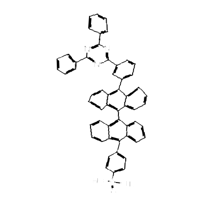 CP(C)(=O)c1ccc(-c2c3ccccc3c(-c3c4ccccc4c(-c4cccc(-c5nc(-c6ccccc6)nc(-c6ccccc6)n5)c4)c4ccccc34)c3ccccc23)cc1